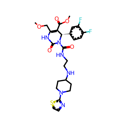 COCC1=C(C(=O)OC)[C@H](c2ccc(F)c(F)c2)N(C(=O)NCCNC2CCN(c3nccs3)CC2)C(=O)N1